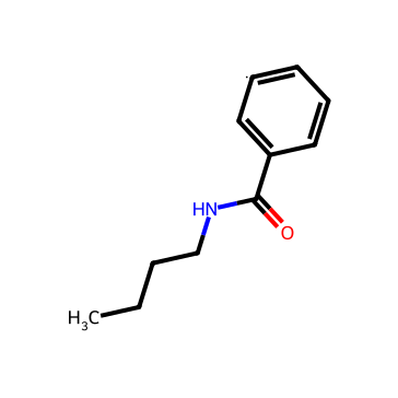 CCCCNC(=O)c1c[c]ccc1